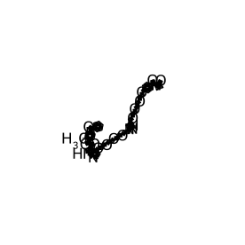 C[C@@H]1CN(C(=O)c2ccccc2)CCN1C(=O)C(=O)c1c[nH]c2nccc(OCCOCCOCCOCCn3cc(COCCOCCOCCOc4ccc(C(=O)N5CCC5=O)cc4)nn3)c12